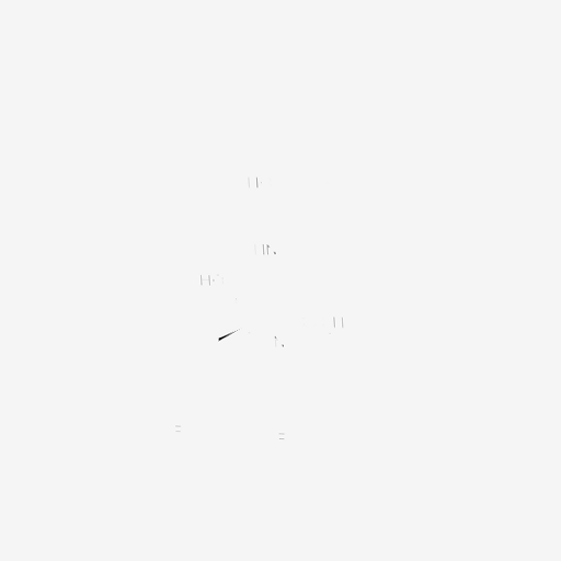 O=C(O)N[C@@H](Cc1cc(F)cc(F)c1)[C@H](O)CNCC(O)c1ccccc1